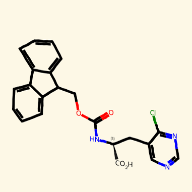 O=C(N[C@@H](Cc1cncnc1Cl)C(=O)O)OCC1c2ccccc2-c2ccccc21